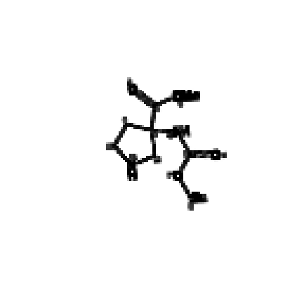 COC(=O)C1(NC(=O)OC(C)(C)C)CCNC1